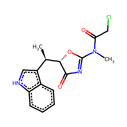 C[C@H](c1c[nH]c2ccccc12)[C@@H]1OC(N(C)C(=O)CCl)=NC1=O